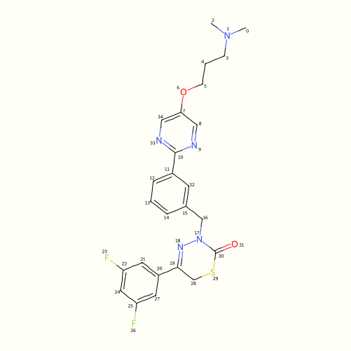 CN(C)CCCOc1cnc(-c2cccc(CN3N=C(c4cc(F)cc(F)c4)CSC3=O)c2)nc1